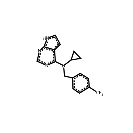 FC(F)(F)c1ccc(CN(c2ncnc3[nH]ccc23)C2CC2)cc1